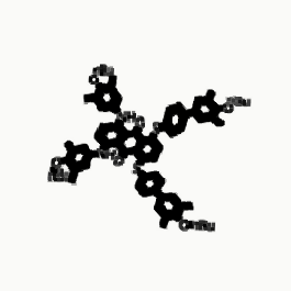 CCCCOc1c(C)cc(Nc2ccc(Nc3cc(C)c(OCCCC)c(C)c3)c3c2C(=O)c2c(Sc4ccc(-c5cc(C)c(OCCCC)c(C)c5)cc4)ccc(Sc4ccc(-c5cc(C)c(OCCCC)c(C)c5)cc4)c2C3=O)cc1C